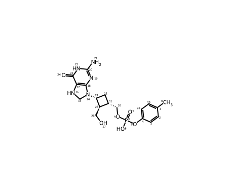 Cc1ccc(OP(=O)(O)OC[C@H]2C[C@@H](N3CNc4c3nc(N)[nH]c4=O)[C@@H]2CO)cc1